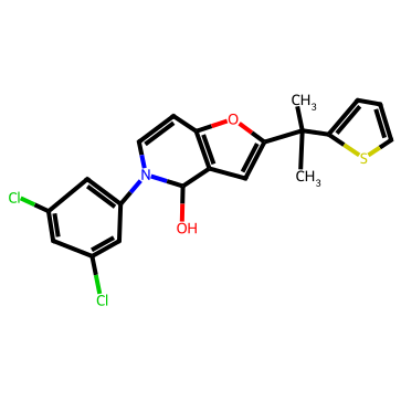 CC(C)(c1cc2c(o1)C=CN(c1cc(Cl)cc(Cl)c1)C2O)c1cccs1